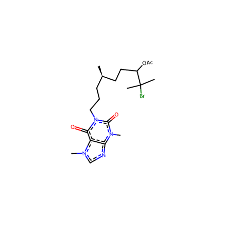 CC(=O)OC(CC[C@H](C)CCCn1c(=O)c2c(ncn2C)n(C)c1=O)C(C)(C)Br